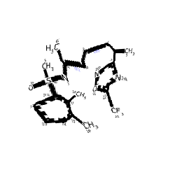 C=C(/C=C\C=C(/C)N=S(C)(=O)c1cccc(C)c1C)c1noc(C(F)(F)F)n1